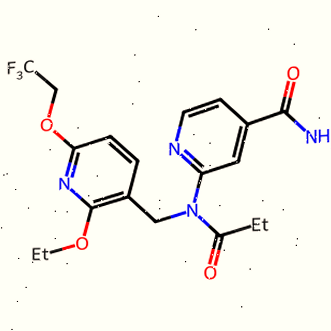 CCOc1nc(OCC(F)(F)F)ccc1CN(C(=O)CC)c1cc(C(N)=O)ccn1